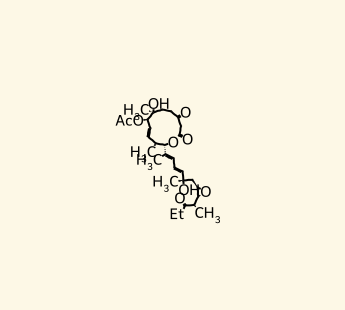 CCC(=O)[C@@H](C)[C@H]1O[C@@H]1C[C@](C)(O)/C=C/C=C(\C)[C@H]1OC(=O)CC(=O)CC[C@](C)(O)[C@H](OC(C)=O)/C=C/[C@@H]1C